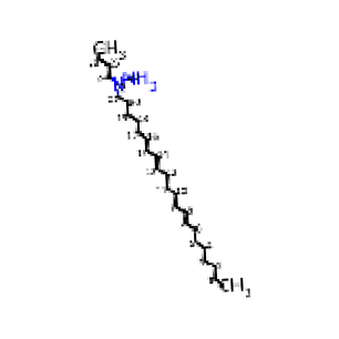 CCCCCCCCCCCCCCCCCCCCCCN(N)CCCC